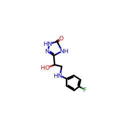 O=c1[nH]nc(C(O)CNc2ccc(F)cc2)[nH]1